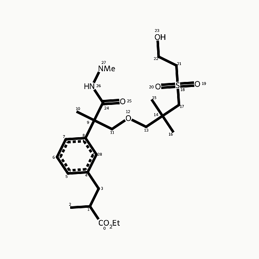 CCOC(=O)C(C)Cc1cccc(C(C)(COCC(C)(C)CS(=O)(=O)CCO)C(=O)NNC)c1